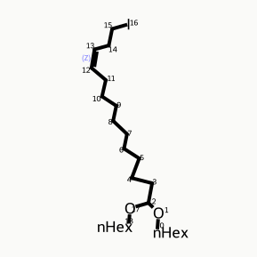 CCCCCCOC(CCCCCCCCC/C=C\CCI)OCCCCCC